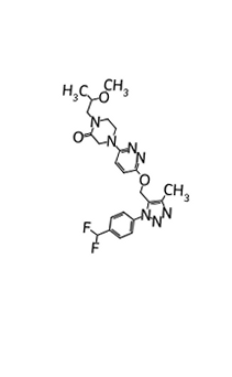 COC(C)CN1CCN(c2ccc(OCc3c(C)nnn3-c3ccc(C(F)F)cc3)nn2)CC1=O